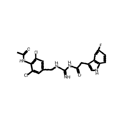 CC(=O)Nc1c(Cl)cc(CNC(=N)NC(=O)Cc2c[nH]c3ccc(F)cc23)cc1Cl